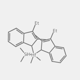 CCC1=C(C)[CH]([Hf]([CH3])([CH3])([CH]2C(C)=C(CC)c3ccccc32)[SiH](C)C)c2ccccc21